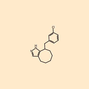 Clc1cccc(CC2CCCCCc3[c]n[nH]c32)c1